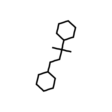 CC(C)(CCC1CCCCC1)C1CCCCC1